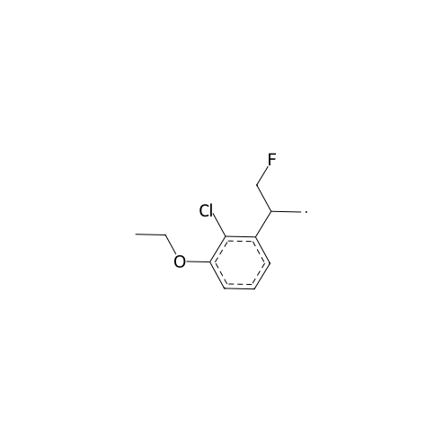 [CH2]C(CF)c1cccc(OCC)c1Cl